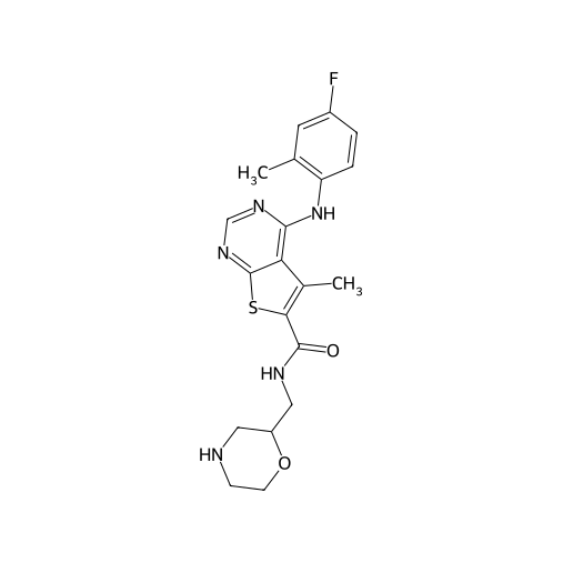 Cc1cc(F)ccc1Nc1ncnc2sc(C(=O)NCC3CNCCO3)c(C)c12